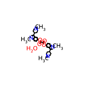 CN1CCC(c2cn(C)c3ccc(OC(=O)C(=O)Oc4ccc5c(c4)c(C4CCN(C)CC4)cn5C)cc23)CC1.O